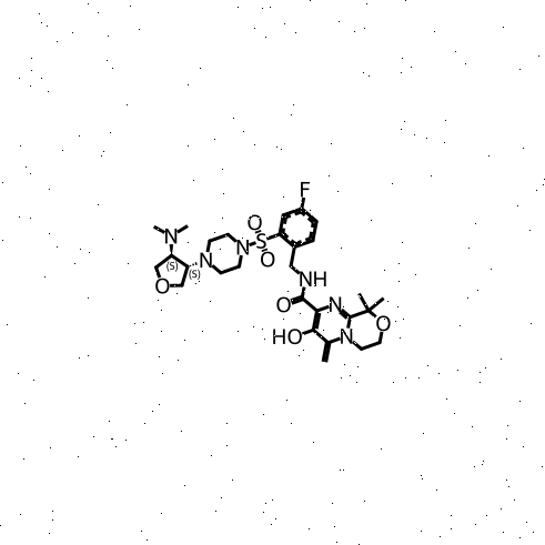 C=C1C(O)=C(C(=O)NCc2ccc(F)cc2S(=O)(=O)N2CCN([C@@H]3COC[C@H]3N(C)C)CC2)N=C2N1CCOC2(C)C